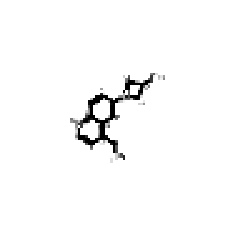 CC(C)Cc1ccnc2ccc(N3CC(F)C3)cc12